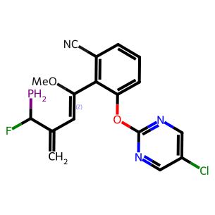 C=C(/C=C(\OC)c1c(C#N)cccc1Oc1ncc(Cl)cn1)C(F)P